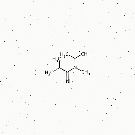 CC(C)C(=N)N(C)C(C)C